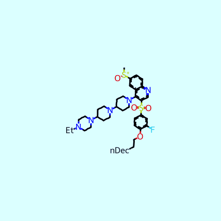 CCCCCCCCCCCCOc1ccc(S(=O)(=O)c2cnc3ccc([S+](C)[O-])cc3c2N2CCC(N3CCC(N4CCN(CC)CC4)CC3)CC2)cc1F